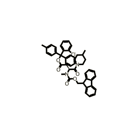 Cc1ccc(C(OC(=O)C[C@@H](C(=O)N2CCC(C)CC2)N(C)C(=O)OCC2c3ccccc3-c3ccccc32)(c2ccccc2)c2ccccc2Cl)cc1